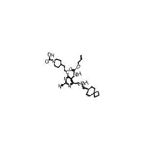 C=CCOC(=O)Nc1c(NCC2CCC3(CCC3)CC2)nc(C#N)nc1OCCC1CCN(C(=O)O)CC1